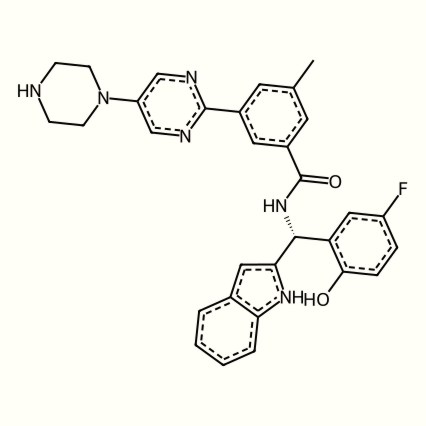 Cc1cc(C(=O)N[C@@H](c2cc3ccccc3[nH]2)c2cc(F)ccc2O)cc(-c2ncc(N3CCNCC3)cn2)c1